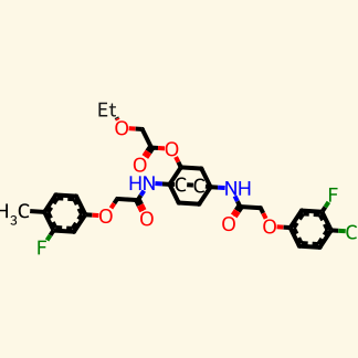 CCOCC(=O)OC1CC2(NC(=O)COc3ccc(Cl)c(F)c3)CCC1(NC(=O)COc1ccc(C)c(F)c1)CC2